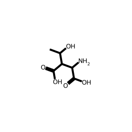 CC(O)C(C(=O)O)C(N)C(=O)O